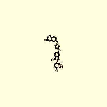 O=C1CCC(N2Cc3cc(O[C@H]4CCN(Cc5ccc6ncc(F)cc6c5)C4)ccc3C2=O)C(=O)N1